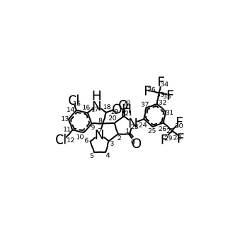 O=C1C2C3CCCN3C3(c4cc(Cl)cc(Cl)c4NC3O)C2C(=O)N1c1cc(C(F)(F)F)cc(C(F)(F)F)c1